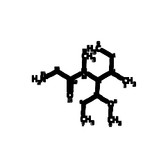 CCC(C)C(C(CC)OC)N(C)C(=O)CN